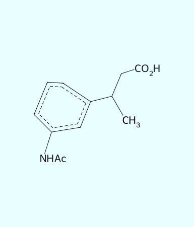 CC(=O)Nc1cccc(C(C)CC(=O)O)c1